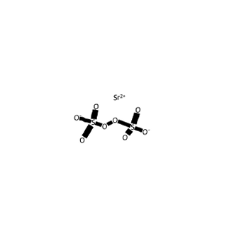 O=S(=O)([O-])OOS(=O)(=O)[O-].[Sr+2]